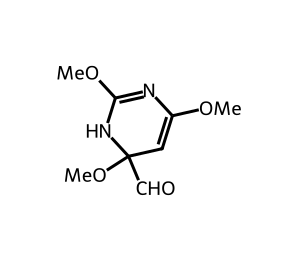 COC1=CC(C=O)(OC)NC(OC)=N1